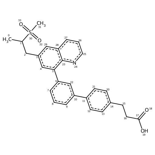 CC(Cc1cc(-c2cccc(-c3ccc(CCC(=O)O)cc3)c2)c2ncccc2c1)S(C)(=O)=O